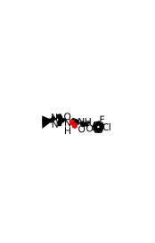 O=C(COc1ccc(Cl)c(F)c1)NC12CC(NC(=O)c3cnc(C4CC4)nc3)(C1)C2